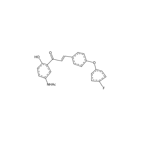 CC(=O)Nc1ccc(O)c(C(=O)C=Cc2ccc(Oc3ccc(F)cc3)cc2)c1